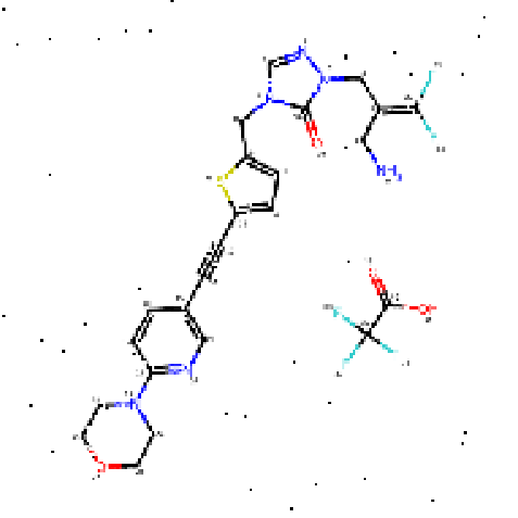 NCC(Cn1ncn(Cc2ccc(C#Cc3ccc(N4CCOCC4)nc3)s2)c1=O)=C(F)F.O=C(O)C(F)(F)F